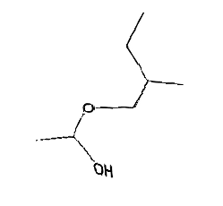 [CH2]C(O)OCC(C)CC